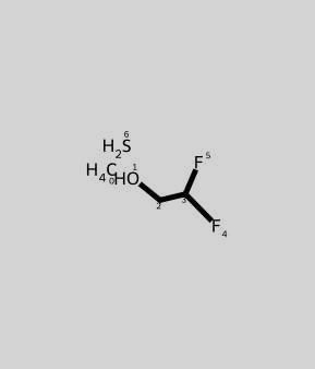 C.OCC(F)F.S